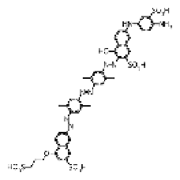 Cc1cc(N=Nc2cc(C)c(N=Nc3c(S(=O)(=O)O)cc4cc(Nc5ccc(N)c(S(=O)(=O)O)c5)ccc4c3O)cc2C)c(C)cc1N=Nc1ccc2c(OCCCS(=O)(=O)O)cc(S(=O)(=O)O)cc2c1